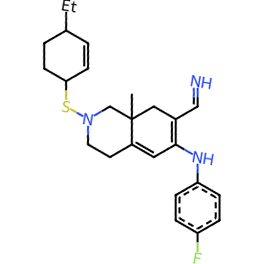 CCC1C=CC(SN2CCC3=CC(Nc4ccc(F)cc4)=C(C=N)CC3(C)C2)CC1